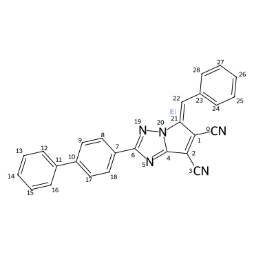 N#Cc1c(C#N)c2nc(-c3ccc(-c4ccccc4)cc3)nn2/c1=C/c1ccccc1